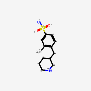 NS(=O)(=O)c1ccc(CC2CCCNC2)c([N+](=O)[O-])c1